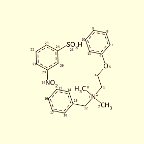 C[N+](C)(CCOc1ccccc1)Cc1ccccc1.O=[N+]([O-])c1cccc(S(=O)(=O)O)c1